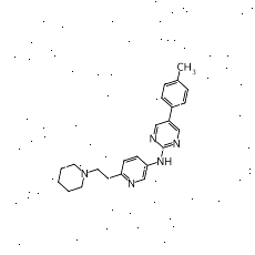 Cc1ccc(-c2cnc(Nc3ccc(CCN4CCCCC4)nc3)nc2)cc1